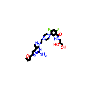 Nc1nc2c(cnn2CCN2CCN(c3cc(C(=O)NCC(O)CO)c(F)cc3F)CC2)c2cc(-c3ccco3)nn12